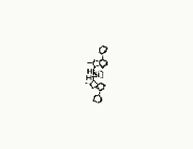 CC1=Cc2c(-c3ccccc3)cccc2[CH]1[Hf][Si]1([Hf][CH]2C(C)=Cc3c(-c4ccccc4)cccc32)CCCC1